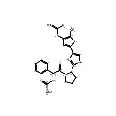 C=C(Br)Sc1cc(-c2c[nH]c([C@@H]3CCCN3C(=O)[C@H](NC(=O)OC)c3ccccc3)n2)sc1C